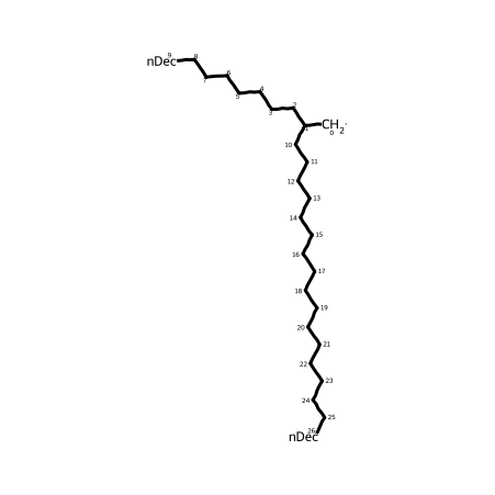 [CH2]C(CCCCCCCCCCCCCCCCC)CCCCCCCCCCCCCCCCCCCCCCCCCC